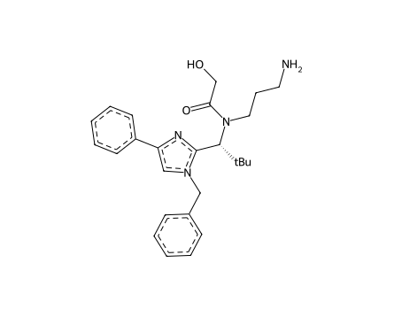 CC(C)(C)[C@H](c1nc(-c2ccccc2)cn1Cc1ccccc1)N(CCCN)C(=O)CO